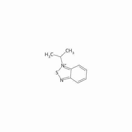 CC(C)[n+]1snc2ccccc21